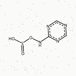 O=S(O)ONc1ncncn1